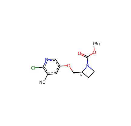 CC(C)(C)OC(=O)N1CC[C@H]1COc1cnc(Cl)c(C#N)c1